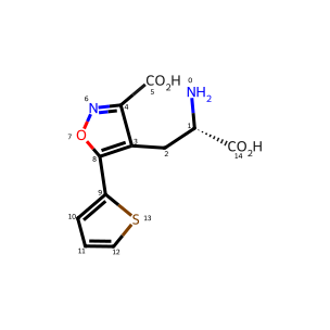 N[C@@H](Cc1c(C(=O)O)noc1-c1cccs1)C(=O)O